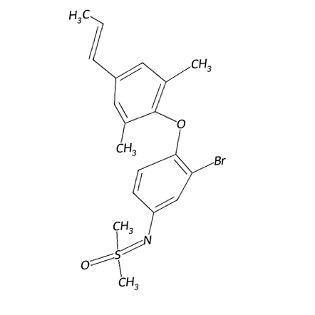 C/C=C/c1cc(C)c(Oc2ccc(N=S(C)(C)=O)cc2Br)c(C)c1